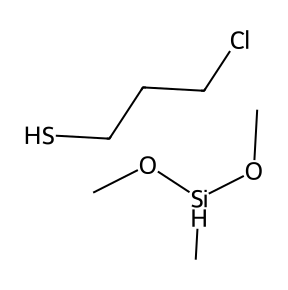 CO[SiH](C)OC.SCCCCl